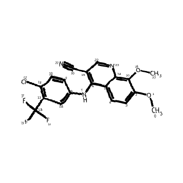 COc1ccc2c(Nc3ccc(Cl)c(C(F)(F)F)c3)c(C#N)cnc2c1OC